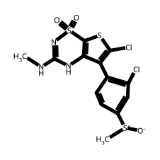 CNC1=NS(=O)(=O)c2sc(Cl)c(-c3ccc([S+](C)[O-])cc3Cl)c2N1